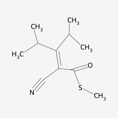 CSC(=O)C(C#N)=C(C(C)C)C(C)C